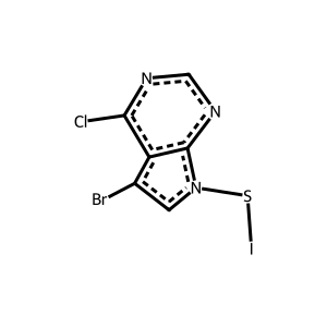 Clc1ncnc2c1c(Br)cn2SI